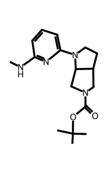 CNc1cccc(N2CCC3CN(C(=O)OC(C)(C)C)CC32)n1